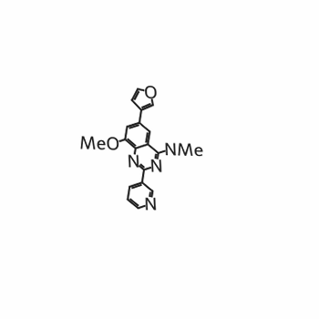 CNc1nc(-c2cccnc2)nc2c(OC)cc(-c3ccoc3)cc12